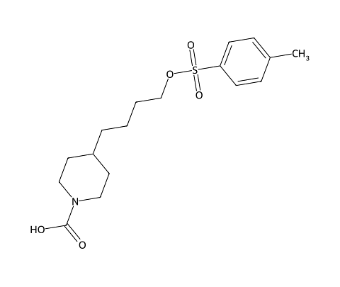 Cc1ccc(S(=O)(=O)OCCCCC2CCN(C(=O)O)CC2)cc1